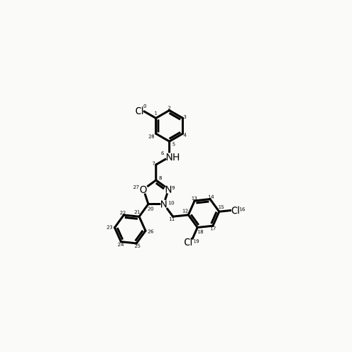 Clc1cccc(NCC2=NN(Cc3ccc(Cl)cc3Cl)C(c3ccccc3)O2)c1